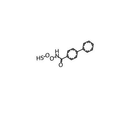 O=C(NOOS)c1ccc(-c2ccccc2)cc1